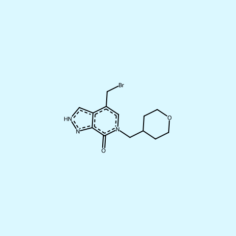 O=c1c2n[nH]cc2c(CBr)cn1CC1CCOCC1